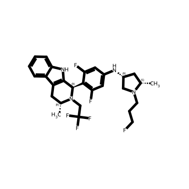 C[C@@H]1Cc2c([nH]c3ccccc23)[C@@H](c2c(F)cc(N[C@@H]3C[C@H](C)N(CCCF)C3)cc2F)N1CC(F)(F)F